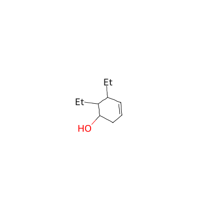 CCC1C=CCC(O)C1CC